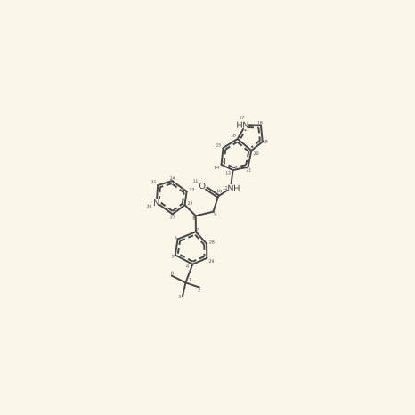 CC(C)(C)c1ccc(C(CC(=O)Nc2ccc3[nH]ccc3c2)c2cccnc2)cc1